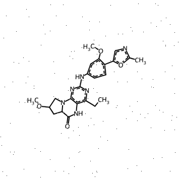 CCc1nc(Nc2ccc(-c3cnc(C)o3)c(OC)c2)nc2c1NC(=O)C1CC(OC)CN21